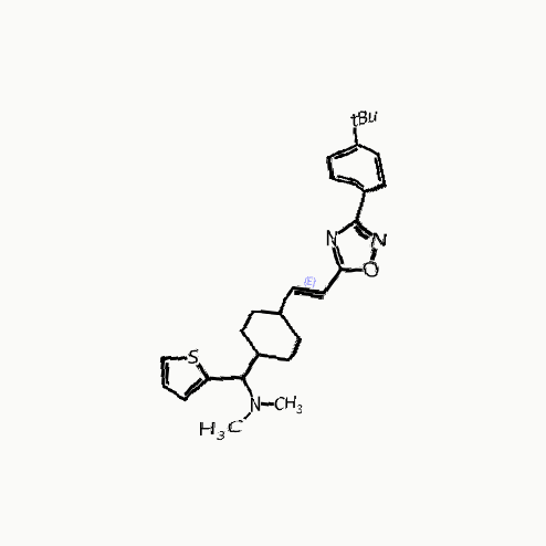 CN(C)C(c1cccs1)C1CCC(/C=C/c2nc(-c3ccc(C(C)(C)C)cc3)no2)CC1